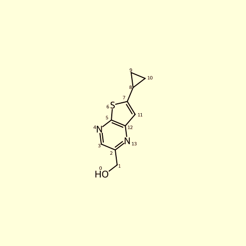 OCc1cnc2sc(C3CC3)cc2n1